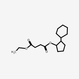 CCOC(=O)CCC(=O)OC1CCCC1C1CCCCC1